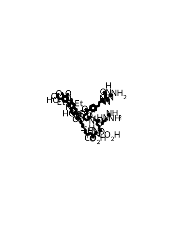 CCc1c2c(nc3ccc(OC(=O)OCCSSC[C@H](CC(=O)[C@H](CC(=O)O)NC(=O)[C@@H](CCCNC(=N)N)CC(=O)[C@H](CC(=O)O)NC(=O)CC[C@H](CC(=O)c4ccc(CCc5cnc6nc(N)[nH]c(=O)c6n5)cc4)C(=O)O)C(=O)O)cc13)-c1cc3c(c(=O)n1C2)COC(=O)[C@@]3(O)CC